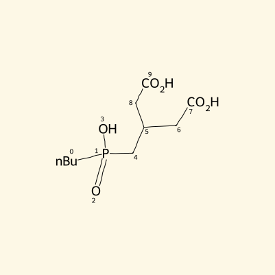 CCCCP(=O)(O)CC(CC(=O)O)CC(=O)O